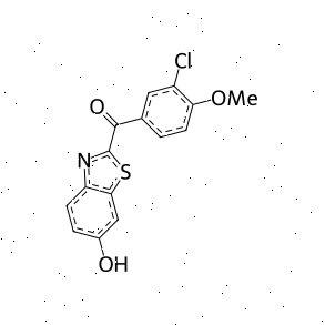 COc1ccc(C(=O)c2nc3ccc(O)cc3s2)cc1Cl